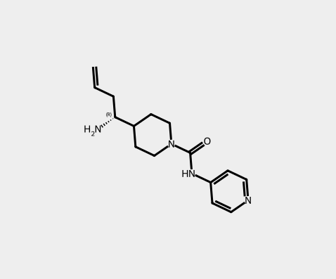 C=CC[C@@H](N)C1CCN(C(=O)Nc2ccncc2)CC1